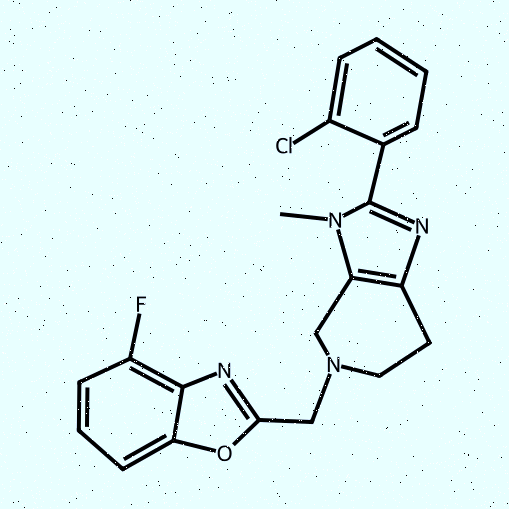 Cn1c(-c2ccccc2Cl)nc2c1CN(Cc1nc3c(F)cccc3o1)CC2